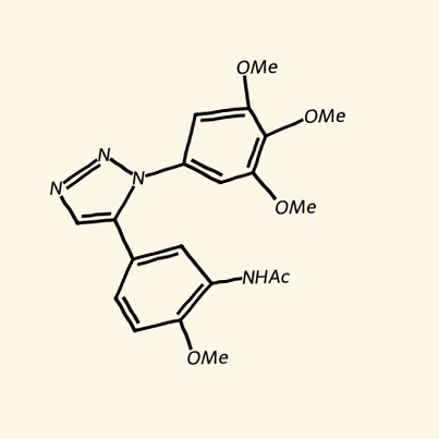 COc1ccc(-c2cnnn2-c2cc(OC)c(OC)c(OC)c2)cc1NC(C)=O